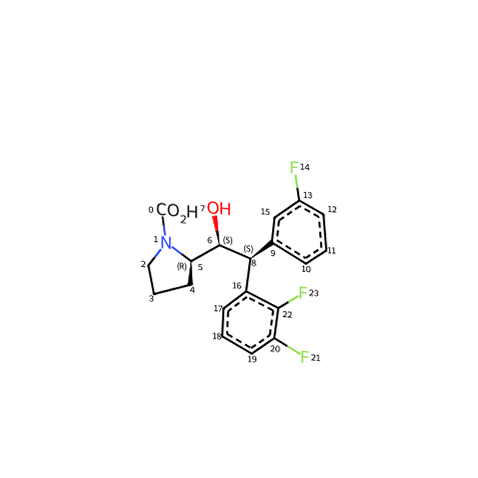 O=C(O)N1CCC[C@@H]1[C@@H](O)[C@@H](c1cccc(F)c1)c1cccc(F)c1F